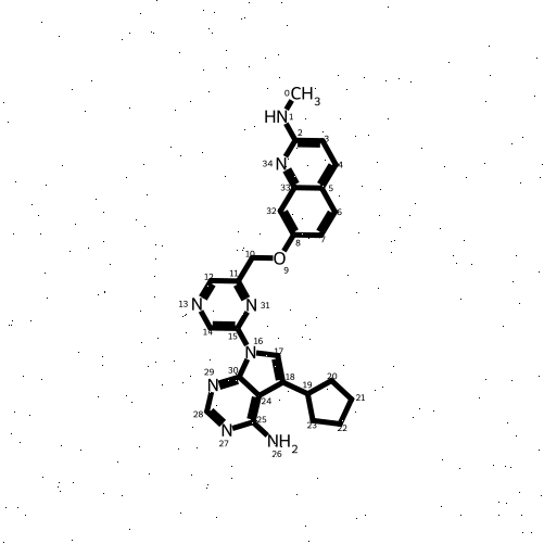 CNc1ccc2ccc(OCc3cncc(-n4cc(C5CCCC5)c5c(N)ncnc54)n3)cc2n1